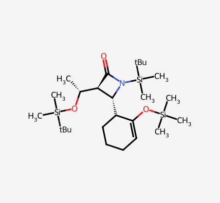 C[C@@H](O[Si](C)(C)C(C)(C)C)[C@H]1C(=O)N([Si](C)(C)C(C)(C)C)[C@@H]1C1CCCC=C1O[Si](C)(C)C